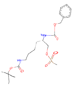 CC(C)(C)OC(=O)NCCCC[C@@H](COS(C)(=O)=O)NC(=O)OCc1ccccc1